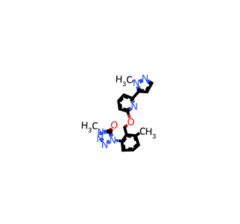 Cc1cccc(-n2nnn(C)c2=O)c1COc1cccc(-c2ccnn2C)n1